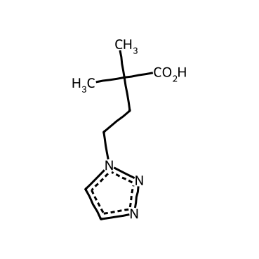 CC(C)(CCn1ccnn1)C(=O)O